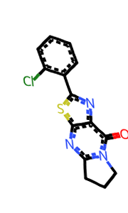 O=c1c2nc(-c3ccccc3Cl)sc2nc2n1CCC2